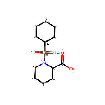 O=C(O)C1CCCCN1S(=O)(=O)C1CCCCC1